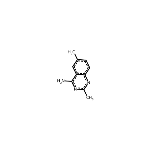 Cc1ccc2nc(C)nc(N)c2c1